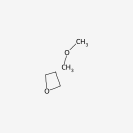 C1COC1.COC